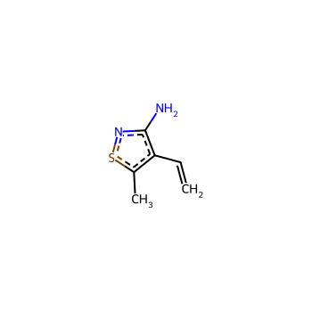 C=Cc1c(N)nsc1C